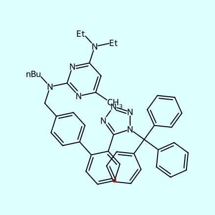 CCCCN(Cc1ccc(-c2ccccc2-c2nnnn2C(c2ccccc2)(c2ccccc2)c2ccccc2)cc1)c1nc(C)cc(N(CC)CC)n1